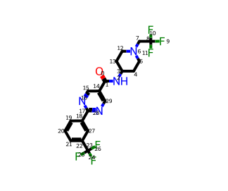 O=C(NC1CCN(CC(F)(F)F)CC1)c1cnc(-c2cccc(C(F)(F)F)c2)nc1